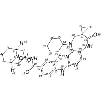 CN1[C@@H]2CCC[C@H]1C[C@@H](NC(=O)c1ccc(Nc3ncc4c(n3)N(C3CCCCC3)CC3(CC3)C(=O)N4)c(F)c1)C2